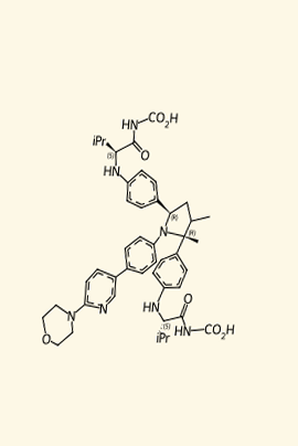 CC(C)[C@H](Nc1ccc([C@H]2CC(C)[C@](C)(c3ccc(N[C@H](C(=O)NC(=O)O)C(C)C)cc3)N2c2ccc(-c3ccc(N4CCOCC4)nc3)cc2)cc1)C(=O)NC(=O)O